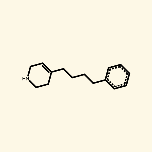 C1=C(CCCCc2ccccc2)CCNC1